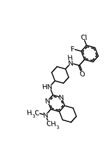 CN(C)c1nc(NC2CCC(NC(=O)c3cccc(Cl)c3F)CC2)nc2c1CCCC2